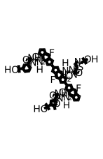 Cc1oc(S(N)(=O)=NC(=O)Nc2c3c(c(F)c4c2CC(C2Cc5c(F)c6c(c(NC(=O)N=S(N)(=O)c7cnc(C(C)(C)O)s7)c5C2)CC(C2Cc5c(F)c7c(c(NC(=O)N=S(N)(=O)c8cccc(C(C)(C)O)c8)c5C2)CCC7)C6)C4)CCC3)cc1C(C)(C)O